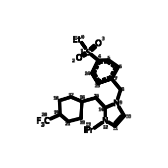 CCS(=O)(=O)c1ccc(CN2C=CN(C(C)C)C2CC2CCC(C(F)(F)F)CC2)cc1